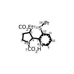 CCOC(=O)C1CCN(C(=O)O)C1c1ncccc1SC(C)C